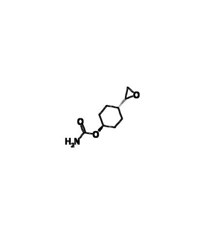 NC(=O)O[C@H]1CC[C@H](C2CO2)CC1